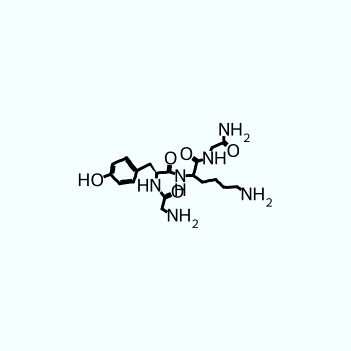 NCCCCC(NC(=O)[C@H](Cc1ccc(O)cc1)NC(=O)CN)C(=O)NCC(N)=O